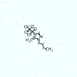 CCCCN1N=CN(C(Cl)(Cl)C(Cl)(Cl)Cl)C1C